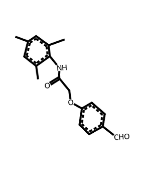 Cc1cc(C)c(NC(=O)COc2ccc(C=O)cc2)c(C)c1